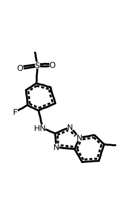 Cc1ccc2nc(Nc3ccc(S(C)(=O)=O)cc3F)nn2c1